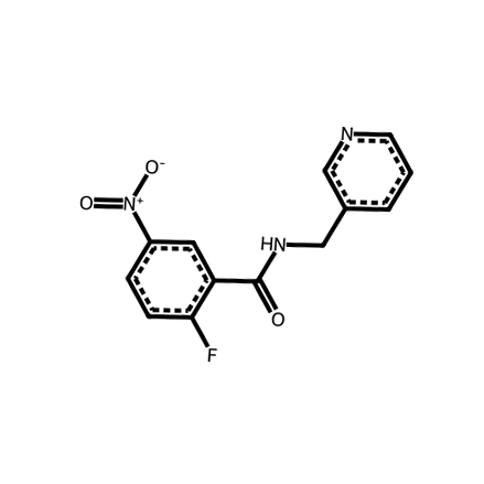 O=C(NCc1cccnc1)c1cc([N+](=O)[O-])ccc1F